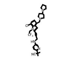 CC(C)(C#N)c1ccc(NCC#Cc2cc3c(CN4CCC(N5CCCC5)CC4)ccc(Cl)c3n2CC(F)(F)F)cn1